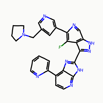 Fc1c(-c2cncc(CN3CCCC3)c2)ncc2[nH]nc(-c3nc4c(-c5ccccn5)ccnc4[nH]3)c12